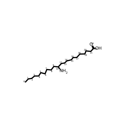 CCCCCCCCCCC(N)CCCCCCCCCCC(=O)O